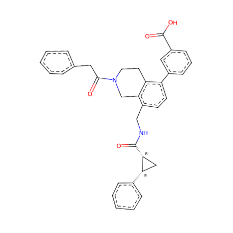 O=C(O)c1cccc(-c2ccc(CNC(=O)[C@@H]3C[C@@H]3c3ccccc3)c3c2CCN(C(=O)Cc2ccccc2)C3)c1